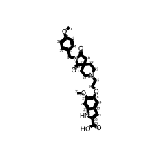 COc1ccc(CN2C(=O)CC3(CCN(CCOc4cc5cc(C(=O)O)[nH]c5cc4OC)CC3)C2=O)cc1